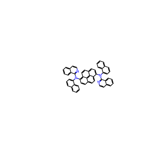 c1ccc2c(N(c3nccc4ccccc34)c3ccc4ccc5c(N(c6cccc7ccccc67)c6nccc7ccccc67)ccc6ccc3c4c65)cccc2c1